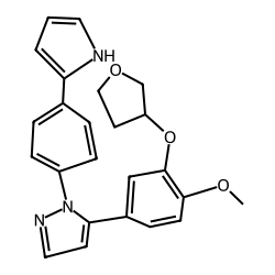 COc1ccc(-c2ccnn2-c2ccc(-c3ccc[nH]3)cc2)cc1OC1CCOC1